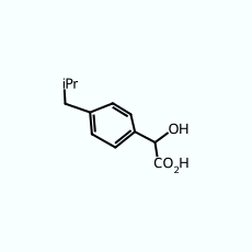 CC(C)Cc1ccc(C(O)C(=O)O)cc1